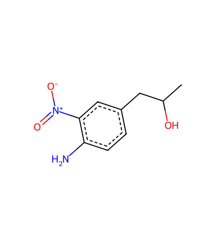 CC(O)Cc1ccc(N)c([N+](=O)[O-])c1